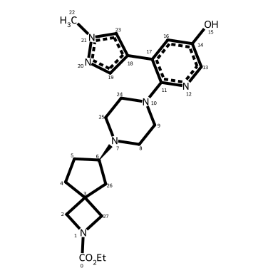 CCOC(=O)N1CC2(CC[C@@H](N3CCN(c4ncc(O)cc4-c4cnn(C)c4)CC3)C2)C1